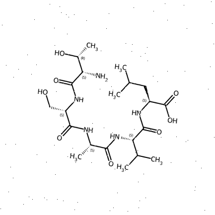 CC(C)C[C@H](NC(=O)[C@@H](NC(=O)[C@H](C)NC(=O)[C@H](CO)NC(=O)[C@@H](N)[C@@H](C)O)C(C)C)C(=O)O